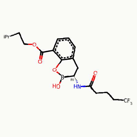 CC(C)CCOC(=O)c1cccc2c1OB(O)[C@@H](NC(=O)CCCC(F)(F)F)C2